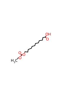 CCOC(=O)OCCCCCCCCCCCC(=O)O